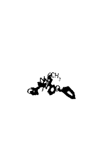 COc1cc(C2CCCC(OCc3ccccc3)C2)nc2c(-c3ccoc3)cnn12